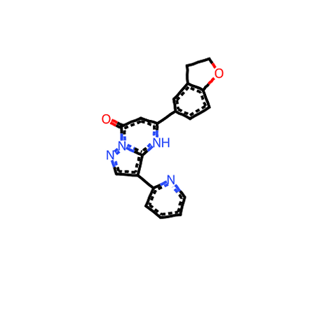 O=c1cc(-c2ccc3c(c2)CCO3)[nH]c2c(-c3ccccn3)cnn12